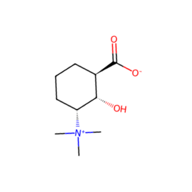 C[N+](C)(C)[C@@H]1CCC[C@@H](C(=O)[O-])[C@@H]1O